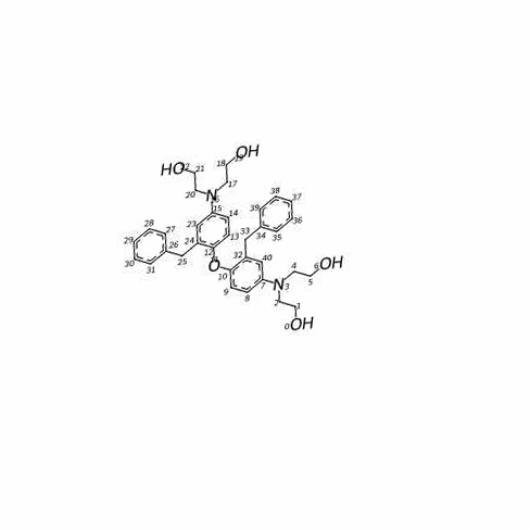 OCCN(CCO)c1ccc(Oc2ccc(N(CCO)CCO)cc2Cc2ccccc2)c(Cc2ccccc2)c1